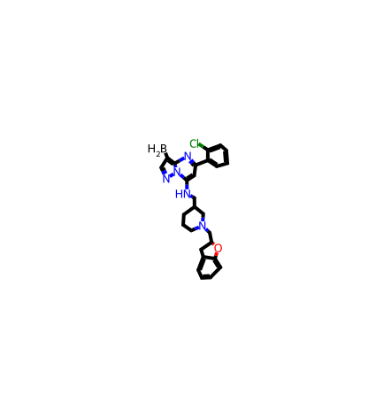 Bc1cnn2c(NCC3CCCN(CC4Cc5ccccc5O4)C3)cc(-c3ccccc3Cl)nc12